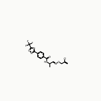 C=C(Cl)CON=CC(C)NC(=O)c1ccc(-c2noc(C(F)(F)F)n2)cc1